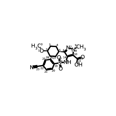 CO[C@H]1CC[C@@H](c2nn(C)c(C(=O)O)c2NS(=O)(=O)c2ccc(C#N)cc2)CC1